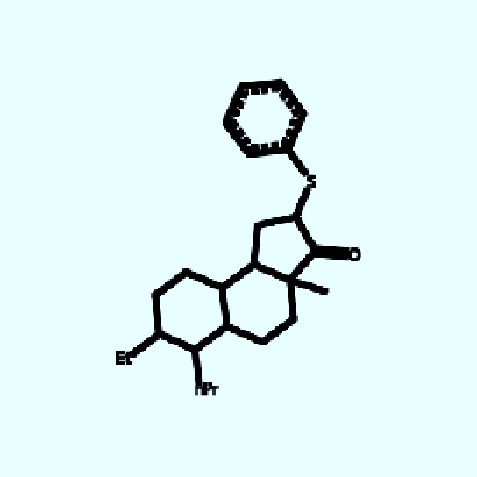 CCCC1C(CC)CCC2C1CCC1(C)C(=O)C(Sc3ccccc3)CC21